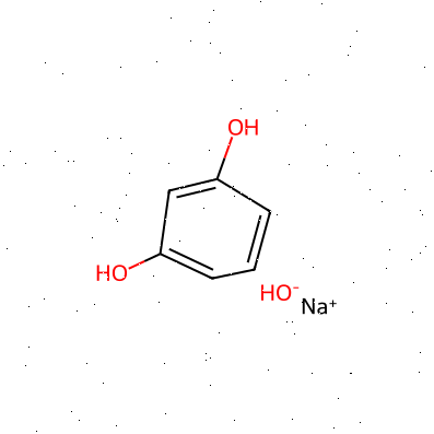 Oc1cccc(O)c1.[Na+].[OH-]